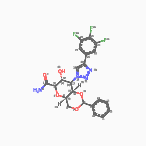 NC(=O)[C@@H]1O[C@@H]2COC(c3ccccc3)O[C@@H]2[C@H](n2cc(-c3cc(F)c(F)c(F)c3)nn2)[C@H]1O